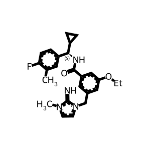 CCOc1cc(Cn2ccn(C)c2=N)cc(C(=O)N[C@H](c2ccc(F)c(C)c2)C2CC2)c1